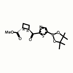 COC(=O)[C@@H]1CC[C@H]1C(=O)c1ncc(B2OC(C)(C)C(C)(C)O2)s1